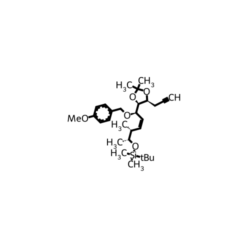 C#CC[C@@H]1OC(C)(C)O[C@@H]1[C@@H](/C=C\[C@@H](C)[C@@H](C)O[Si](C)(C)C(C)(C)C)OCc1ccc(OC)cc1